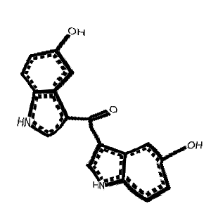 O=C(c1c[nH]c2ccc(O)cc12)c1c[nH]c2ccc(O)cc12